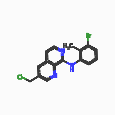 Cc1c(Br)cccc1Nc1nccc2cc(CCl)cnc12